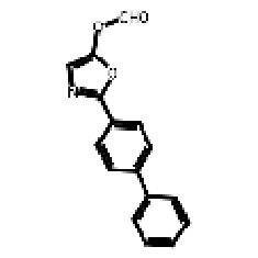 O=COc1cnc(-c2ccc(-c3ccccc3)cc2)o1